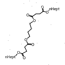 CCCCCCCOC(=O)CCC(=O)OCCCCOC(=O)CCC(=O)OCCCCCCC